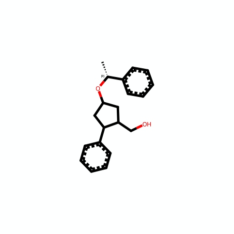 C[C@@H](OC1CC(CO)C(c2ccccc2)C1)c1ccccc1